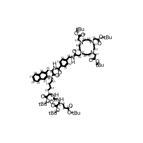 CC(C)(C)OC(=O)CC[C@H](NC(=O)N[C@@H](CCCCNC(=O)[C@H](Cc1ccc2ccccc2c1)NC(=O)c1ccc(CNC(=O)CN2CCN(CC(=O)OC(C)(C)C)CCN(CC(=O)OC(C)(C)C)CCN(CC(=O)OC(C)(C)C)CC2)cc1)C(=O)OC(C)(C)C)C(=O)OC(C)(C)C